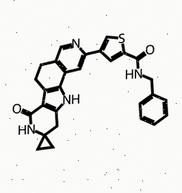 O=C(NCc1ccccc1)c1cc(-c2cc3c(cn2)CCc2c-3[nH]c3c2C(=O)NC2(CC2)C3)cs1